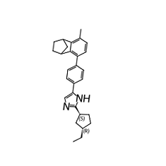 CC[C@@H]1CC[C@H](c2ncc(-c3ccc(-c4ccc(C)c5c4C4CCC5C4)cc3)[nH]2)C1